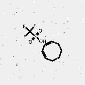 C1=CCCCCC=C1.O=S(=O)(O)C(F)(F)F